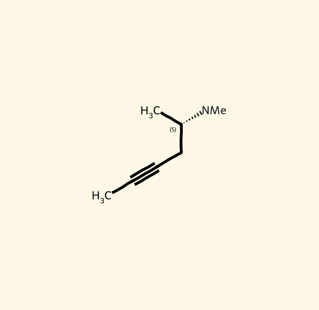 CC#CC[C@H](C)NC